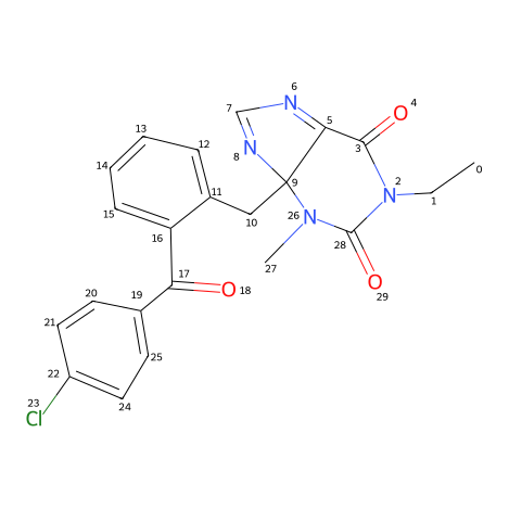 CCN1C(=O)C2=NC=NC2(Cc2ccccc2C(=O)c2ccc(Cl)cc2)N(C)C1=O